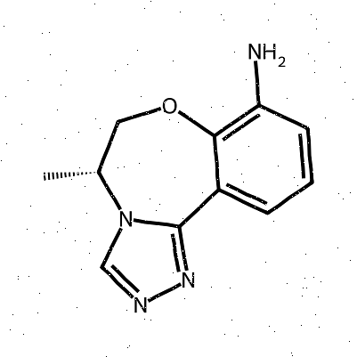 C[C@@H]1COc2c(N)cccc2-c2nncn21